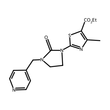 CCOC(=O)c1sc(N2CCN(Cc3ccncc3)C2=O)nc1C